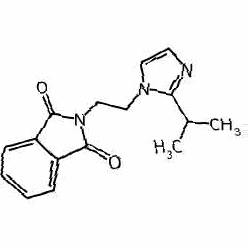 CC(C)c1nccn1CCN1C(=O)c2ccccc2C1=O